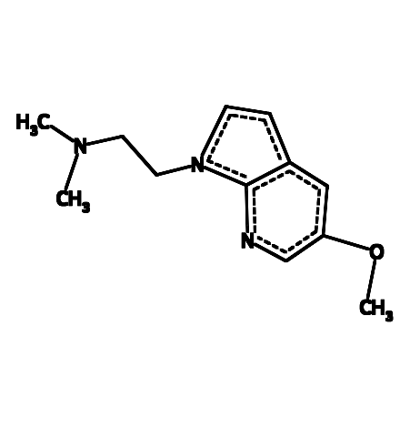 COc1cnc2c(ccn2CCN(C)C)c1